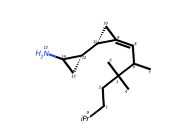 CC(C)CCC(C)(C)C(C)/C=C1/C[C@H]1[C@@H]1CC1N